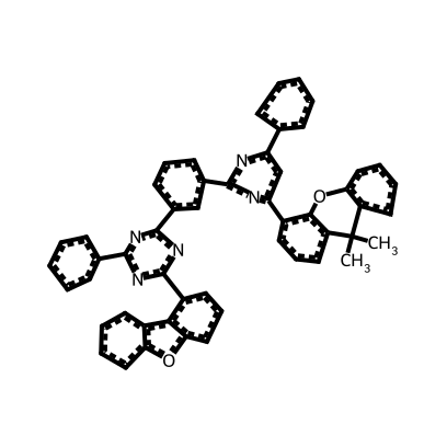 CC1(C)c2ccccc2Oc2c(-c3cc(-c4ccccc4)nc(-c4cccc(-c5nc(-c6ccccc6)nc(-c6cccc7oc8ccccc8c67)n5)c4)n3)cccc21